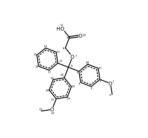 COc1ccc(C(OCC(=O)O)(c2ccccc2)c2ccc(OC)cc2)cc1